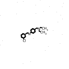 CCN(CC)Cc1ccc(N=Cc2cccc(Cl)c2)cc1